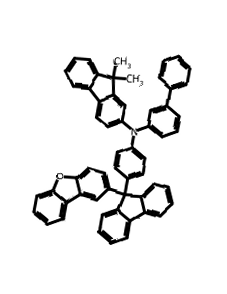 CC1(C)c2ccccc2-c2ccc(N(c3ccc(C4(c5ccc6oc7ccccc7c6c5)c5ccccc5-c5ccccc54)cc3)c3cccc(-c4ccccc4)c3)cc21